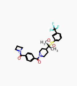 CC(C)(C1CCN(C(=O)c2ccc(C(=O)N3CCC3)cc2)CC1)S(=O)(=O)c1cccc(C(F)(F)F)c1